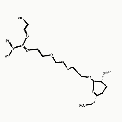 CC(=O)N[C@@H]1[CH][CH][C@H](COC(C)=O)O[C@H]1OCCOCCOCCOP(OCCC#N)N(C(C)C)C(C)C